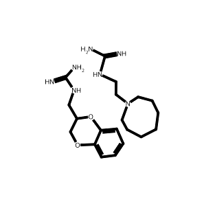 N=C(N)NCC1COc2ccccc2O1.N=C(N)NCCN1CCCCCCC1